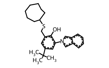 CC(C)(C)c1cc(CSC2CCCCCCC2)c(O)c(-n2cc3ccccc3c2)c1